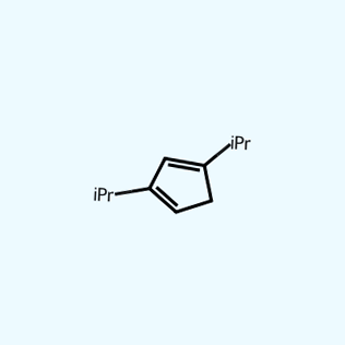 CC(C)C1=CCC(C(C)C)=C1